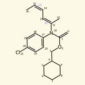 C=C(OCC1CCCCC1)N(/C(C)=C/C=C\C)c1ccc(Cl)cc1